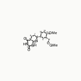 COOCc1cc(-c2ccc3c(=O)[nH]c(=O)[nH]c3n2)ccc1OC